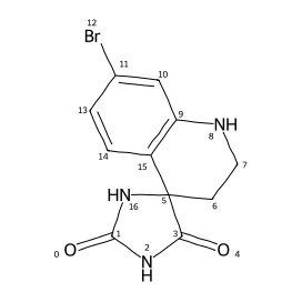 O=C1NC(=O)C2(CCNc3cc(Br)ccc32)N1